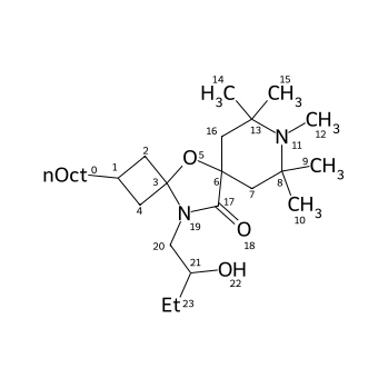 CCCCCCCCC1CC2(C1)OC1(CC(C)(C)N(C)C(C)(C)C1)C(=O)N2CC(O)CC